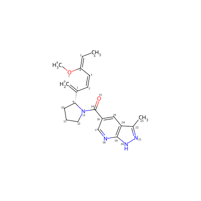 C=C(/C=C\C(=C/C)OC)[C@H]1CCCN1C(=O)c1cnc2[nH]nc(C)c2c1